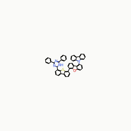 c1ccc(C2=NC(c3cccc4c3sc3c(-c5cccc6c5oc5cccc(-n7c8ccccc8c8ccccc87)c56)cccc34)NC(c3ccccc3)=N2)cc1